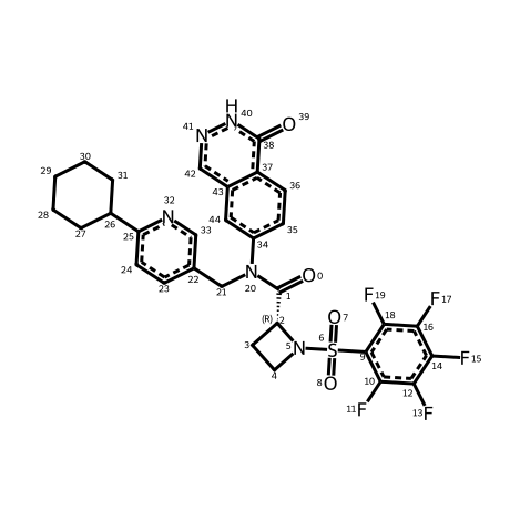 O=C([C@H]1CCN1S(=O)(=O)c1c(F)c(F)c(F)c(F)c1F)N(Cc1ccc(C2CCCCC2)nc1)c1ccc2c(=O)[nH]ncc2c1